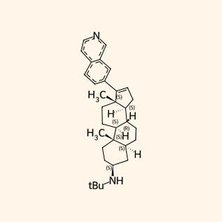 CC(C)(C)N[C@H]1CC[C@@]2(C)[C@@H](CC[C@@H]3[C@@H]2CC[C@]2(C)C(c4ccc5ccncc5c4)=CC[C@@H]32)C1